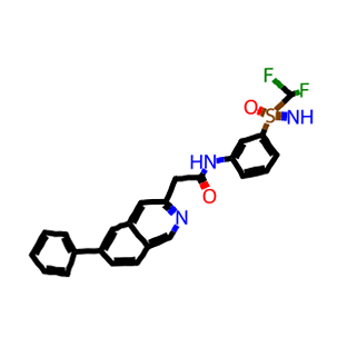 N=S(=O)(c1cccc(NC(=O)Cc2cc3cc(-c4ccccc4)ccc3cn2)c1)C(F)F